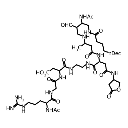 CCCCCCCCCCCCCC(=O)NCC(NC(C)=O)C(C=O)CNC(C)CC(=O)NC(CC(=O)NC1COC(=O)C1)C(=O)NCCNC(=O)C(CC(=O)O)NC(=O)CNC(=O)C(CCCNC(=N)N)NC(C)=O